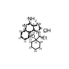 CCC(n1cnc2c(N)nc3ccccc3c21)C1(O)CCCCC1.Cl